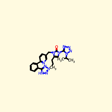 CCCc1cn(-c2nnnn2C(C)C)c(=O)n1Cc1ccc(-c2ccccc2-c2nnn[nH]2)nc1